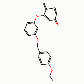 C=C1C=CC(=O)C=C1Oc1cccc(OCc2ccc(OCC)cc2)c1